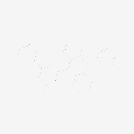 Cc1nc(-c2ccccc2)nc(-c2c3ccccc3c(-c3ccccn3)c3ccccc23)n1